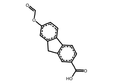 O=COc1ccc2c(c1)Cc1cc(C(=O)O)ccc1-2